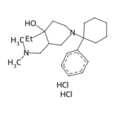 CCC1(O)CCN(C2(c3ccccc3)CCCCC2)CC1CN(C)C.Cl.Cl